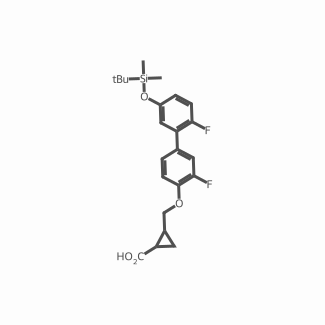 CC(C)(C)[Si](C)(C)Oc1ccc(F)c(-c2ccc(OCC3CC3C(=O)O)c(F)c2)c1